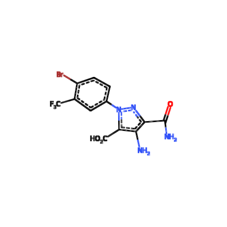 NC(=O)c1nn(-c2ccc(Br)c(C(F)(F)F)c2)c(C(=O)O)c1N